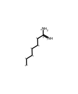 [CH2]CCCC[CH]C(=N)N